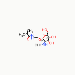 C=C(C)C(=O)NCCO[C@@H]1OC(CO)[C@H](O)C(O)C1NC=O